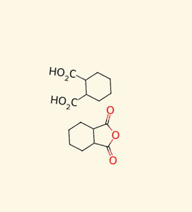 O=C(O)C1CCCCC1C(=O)O.O=C1OC(=O)C2CCCCC12